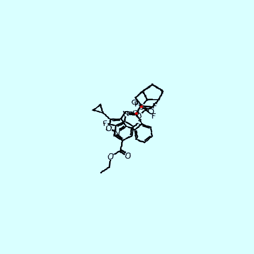 CCOC(=O)c1cc(F)c2nc(S(=O)(=O)C3C4CCC3CC(OCc3c(-c5ccccc5OC(F)(F)F)noc3C3CC3)C4)sc2c1